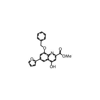 COC(=O)c1cc(O)c2cc(-c3ccco3)cc(OCc3ccccc3)c2n1